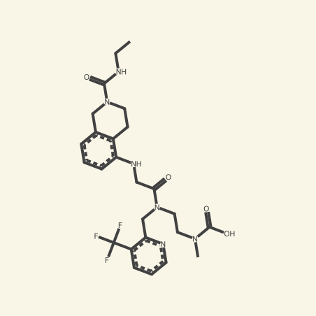 CCNC(=O)N1CCc2c(cccc2NCC(=O)N(CCN(C)C(=O)O)Cc2ncccc2C(F)(F)F)C1